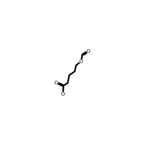 [O]C(=O)CCCCOC=O